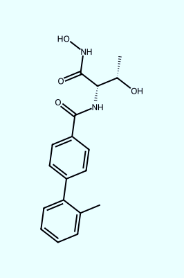 Cc1ccccc1-c1ccc(C(=O)N[C@H](C(=O)NO)[C@H](C)O)cc1